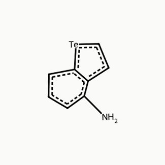 Nc1cccc2[te]ccc12